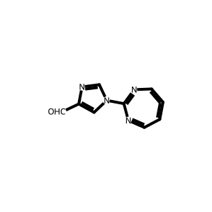 O=Cc1cn(C2=NC=C=CC=N2)cn1